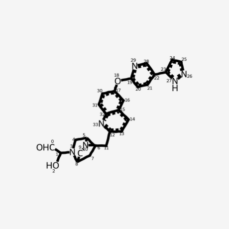 O=CC(O)N1CC2CCC1CN2Cc1ccc2cc(Oc3ccc(-c4ccn[nH]4)cn3)ccc2n1